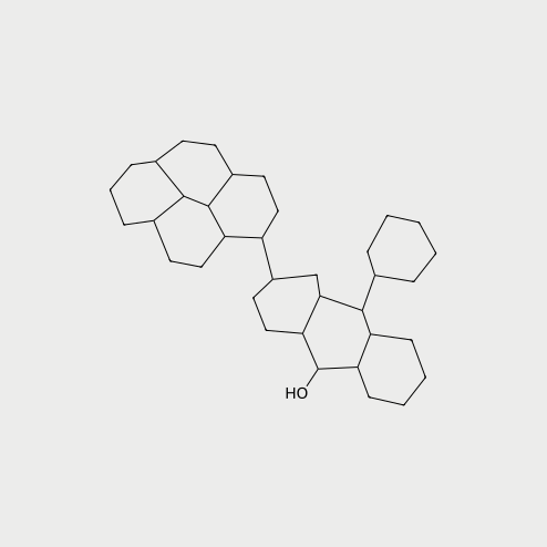 OC1C2CCCCC2C(C2CCCCC2)C2CC(C3CCC4CCC5CCCC6CCC3C4C56)CCC12